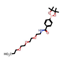 CC1(C)OB(c2ccc(C(=O)NCCOCCOCCOCCC(=O)O)cc2)OC1(C)C